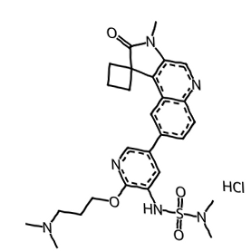 CN(C)CCCOc1ncc(-c2ccc3ncc4c(c3c2)C2(CCC2)C(=O)N4C)cc1NS(=O)(=O)N(C)C.Cl